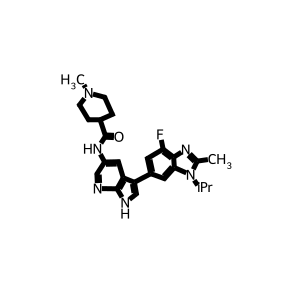 Cc1nc2c(F)cc(-c3c[nH]c4ncc(NC(=O)C5CCN(C)CC5)cc34)cc2n1C(C)C